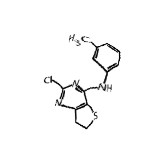 Cc1cccc(Nc2nc(Cl)nc3c2SCC3)c1